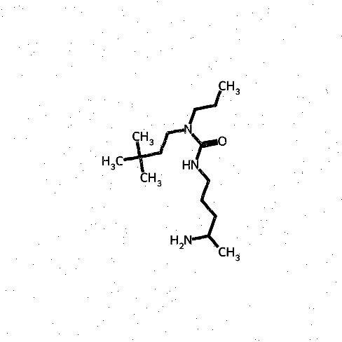 CCCN(CCC(C)(C)C)C(=O)NCCCC(C)N